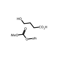 CCCOC(=O)OC.O=C(O)CCCO